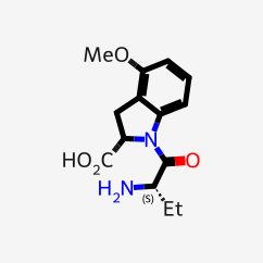 CC[C@H](N)C(=O)N1c2cccc(OC)c2CC1C(=O)O